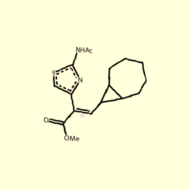 COC(=O)/C(=C/C1C2CCCCCC12)c1csc(NC(C)=O)n1